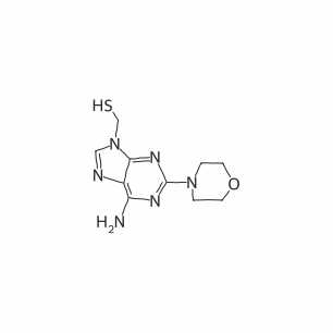 Nc1nc(N2CCOCC2)nc2c1ncn2CS